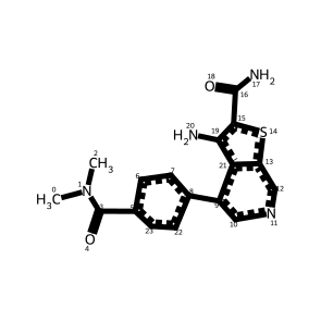 CN(C)C(=O)c1ccc(-c2cncc3sc(C(N)=O)c(N)c23)cc1